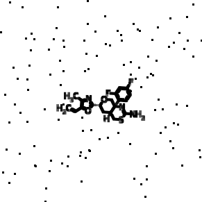 C=Cc1oc([C@H]2C[C@H]3CSC(N)=N[C@@]3(c3ccc(F)cc3F)CO2)nc1C